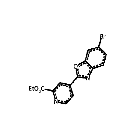 CCOC(=O)c1cc(-c2nc3ccc(Br)cc3o2)ccn1